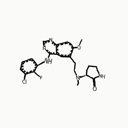 COc1cc2ncnc(Nc3cccc(Cl)c3F)c2cc1CCN(C)[C@H]1CCNC1=O